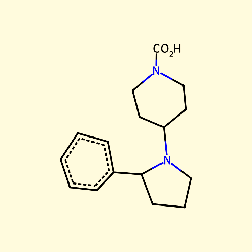 O=C(O)N1CCC(N2CCCC2c2ccccc2)CC1